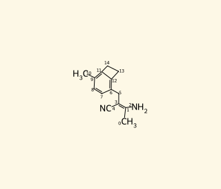 C/C(N)=C(\C#N)Cc1ccc(C)c2c1CC2